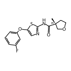 C[C@@]1(C(=O)Nc2ncc(Oc3cccc(F)c3)s2)CCOC1